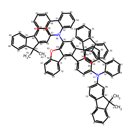 CC1(C)c2ccccc2-c2ccc(N(c3ccc4c(c3)C3(c5ccccc5-c5ccccc53)c3cc(N(c5ccc6c(c5)C(C)(C)c5ccccc5-6)c5ccccc5-c5ccccc5)c5oc6ccccc6c5c3-4)c3ccccc3-c3ccccc3)cc21